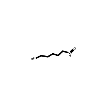 CCCCCCC[CH2][SnH]=[O]